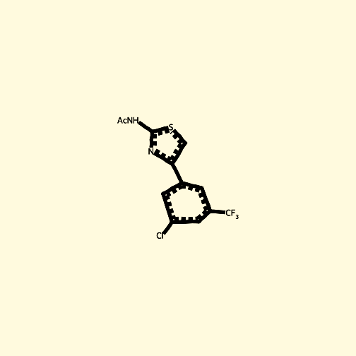 CC(=O)Nc1nc(-c2cc(Cl)cc(C(F)(F)F)c2)cs1